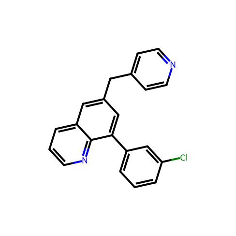 Clc1cccc(-c2cc(Cc3ccncc3)cc3cccnc23)c1